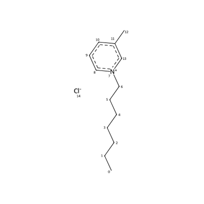 CCCCCCC[n+]1cccc(C)c1.[Cl-]